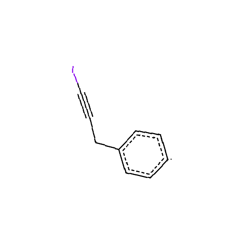 IC#CCc1cc[c]cc1